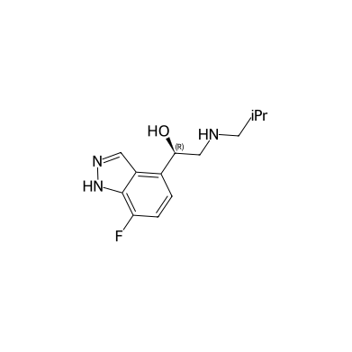 CC(C)CNC[C@H](O)c1ccc(F)c2[nH]ncc12